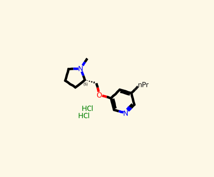 CCCc1cncc(OC[C@@H]2CCCN2C)c1.Cl.Cl